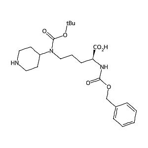 CC(C)(C)OC(=O)N(CCC[C@H](NC(=O)OCc1ccccc1)C(=O)O)C1CCNCC1